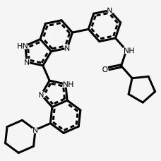 O=C(Nc1cncc(-c2ccc3[nH]nc(-c4nc5c(N6CCCCC6)cccc5[nH]4)c3n2)c1)C1CCCC1